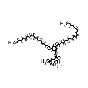 CCCCC/C=C\C/C=C\CCCCCCCCOc1cc(COC(=O)C(C)CN(C)C)cc(OCCCCCCCC/C=C\C/C=C/CCCCC)c1